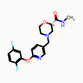 CNC(=O)[C@@H]1CN(Cc2ccc(Oc3cc(F)ccc3F)nc2)CCO1